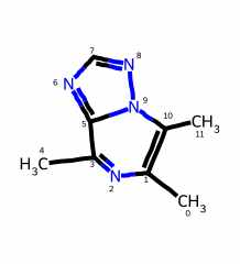 Cc1nc(C)c2ncnn2c1C